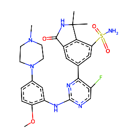 COc1ccc(N2CCN(C)CC2)cc1Nc1ncc(F)c(-c2cc3c(c(S(N)(=O)=O)c2)C(C)(C)NC3=O)n1